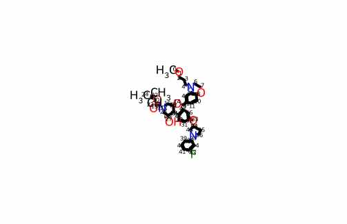 COCCCN1CCOc2ccc(CO[C@H]3CN(C(=O)OC(C)(C)C)C[C@@H](O)[C@@H]3c3ccc(O[C@H]4CCN(c5cccc(F)c5)C4)cc3)cc21